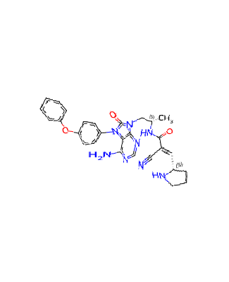 C[C@@H](Cn1c(=O)n(-c2ccc(Oc3ccccc3)cc2)c2c(N)ncnc21)NC(=O)C(C#N)=C[C@@H]1CCCN1